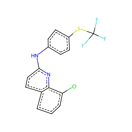 FC(F)(F)Sc1ccc(Nc2ccc3cccc(Cl)c3n2)cc1